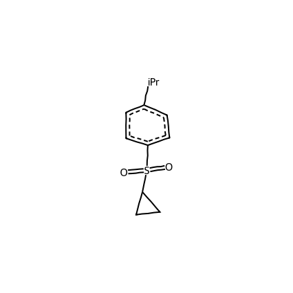 CC(C)c1ccc(S(=O)(=O)C2CC2)cc1